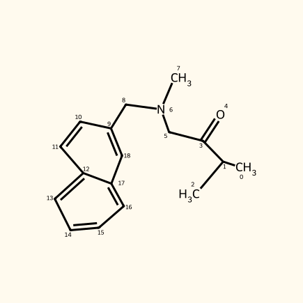 CC(C)C(=O)CN(C)Cc1ccc2ccccc2c1